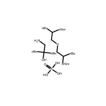 CCCCC(O)(CN)CCCC.CCCCCCC(CCCC)COCC(CCCC)CCCCCC.O=P(O)(O)O